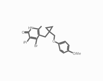 COc1ccc(OCC2(Cc3c(C)[nH]c(=O)c(C(C)C)c3Br)CC2)cc1